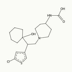 O=C(O)NC1CCN(CC(c2csc(Cl)c2)C2(O)CCCCC2)CC1